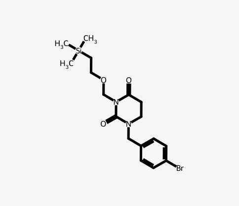 C[Si](C)(C)CCOCN1C(=O)CCN(Cc2ccc(Br)cc2)C1=O